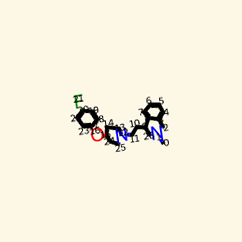 CN1Cc2ccccc2C(CCN2CCC(Oc3ccc(F)cc3)CC2)C1